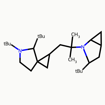 CC(C)(C)C1CC2CC2N1C(C)(C)CC1CC12CCN(C(C)(C)C)C2C(C)(C)C